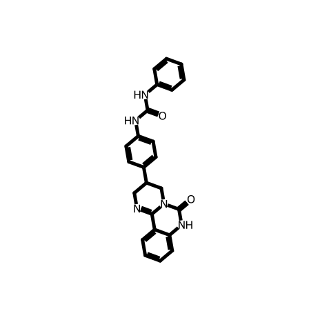 O=C(Nc1ccccc1)Nc1ccc(C2CN=C3c4ccccc4NC(=O)N3C2)cc1